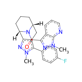 Cn1nc2c(c1-c1ccc(F)cc1)C[C@H]1CCC[C@@H]2N1C(=O)c1nn(C)c2ncccc12